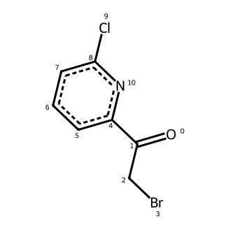 O=C(CBr)c1cccc(Cl)n1